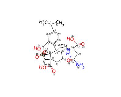 CC(C)c1ccc2c(c1)CC[C@H]1[C@@](CS(=O)(=O)O)(C(=O)O)CCC[C@]21C.NC(=O)C[C@H](N)C(=O)O